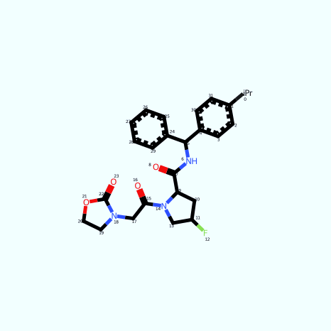 CC(C)c1ccc(C(NC(=O)C2CC(F)CN2C(=O)CN2CCOC2=O)c2ccccc2)cc1